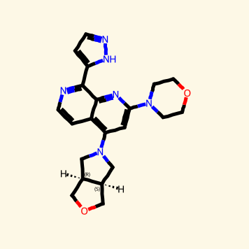 c1cc(-c2nccc3c(N4C[C@H]5COC[C@H]5C4)cc(N4CCOCC4)nc23)[nH]n1